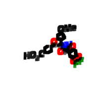 COc1ccc2c(c1)O[C@@H]([C@H]1CC[C@H](C(=O)O)CC1)C[C@H]2NC(=O)[C@@]1(C)COc2cc3c(cc21)OC(F)(F)O3